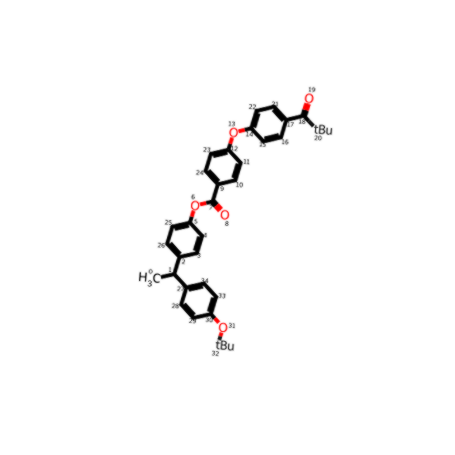 CC(c1ccc(OC(=O)c2ccc(Oc3ccc(C(=O)C(C)(C)C)cc3)cc2)cc1)c1ccc(OC(C)(C)C)cc1